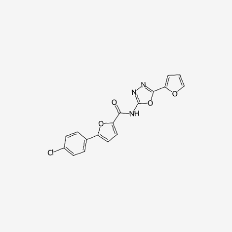 O=C(Nc1nnc(-c2ccco2)o1)c1ccc(-c2ccc(Cl)cc2)o1